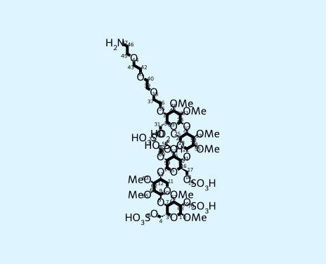 CO[C@H]1O[C@H](COS(=O)(=O)O)[C@@H](O[C@@H]2OC[C@@H](O[C@H]3O[C@H](COS(=O)(=O)O)[C@@H](O[C@@H]4O[C@H](C(=O)O)[C@@H](O[C@H]5O[C@H](COS(=O)(=O)O)[C@@H](OCCOCCOCCOCCN)[C@H](OC)[C@H]5OC)[C@H](OC)[C@H]4OC)[C@H](OS(=O)(=O)O)[C@H]3OS(=O)(=O)O)[C@H](OC)[C@H]2OC)[C@H](OC)[C@H]1OS(=O)(=O)O